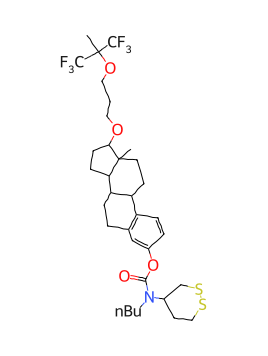 CCCCN(C(=O)Oc1ccc2c(c1)CCC1C2CCC2(C)C(OCCCOC(C)(C(F)(F)F)C(F)(F)F)CCC12)C1CCSSC1